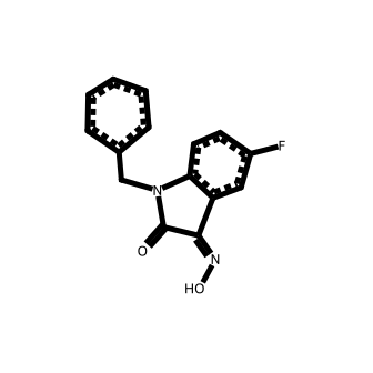 O=C1/C(=N\O)c2cc(F)ccc2N1Cc1ccccc1